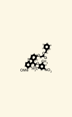 COc1ccc2nc3ccc(OCC(=O)OCc4ccccc4)cc3c(C(=O)Oc3c(C)cc([N+](=O)[O-])cc3C)c2c1